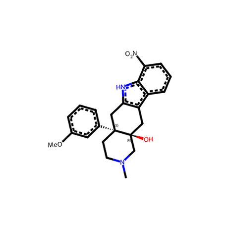 COc1cccc([C@@]23CCN(C)C[C@@]2(O)Cc2c([nH]c4c([N+](=O)[O-])cccc24)C3)c1